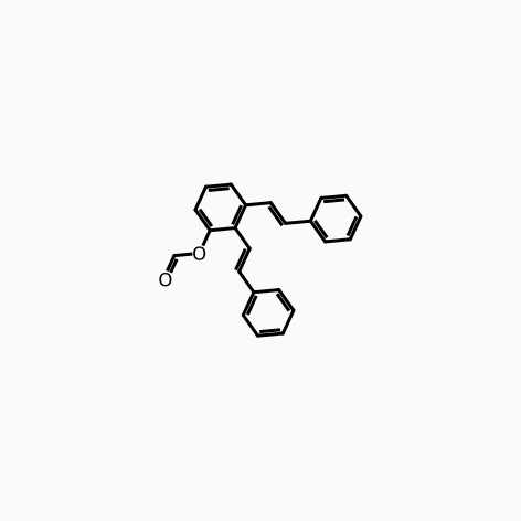 O=COc1cccc(C=Cc2ccccc2)c1C=Cc1ccccc1